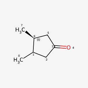 CC1CC(=O)C[C@@H]1C